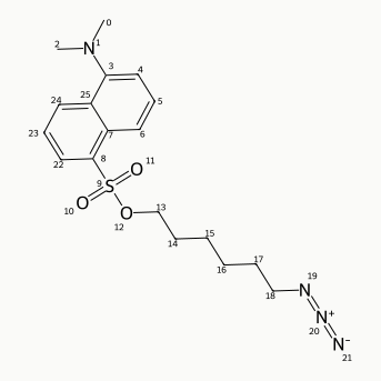 CN(C)c1cccc2c(S(=O)(=O)OCCCCCCN=[N+]=[N-])cccc12